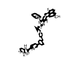 C#Cc1c(F)ccc2cc(O)cc(-c3ncc4c(N5CC6CCC(C5)N6)nc(OCC5(CN6CCC(CC7CCC(c8ccc(C(=O)NC9CCC(=O)NC9=O)nc8)CC7)CC6)CC5)nc4c3F)c12